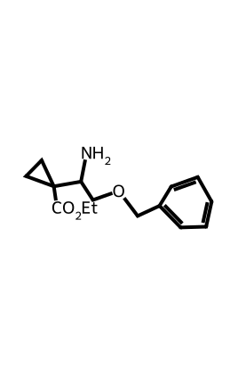 CCOC(=O)C1(C(N)COCc2ccccc2)CC1